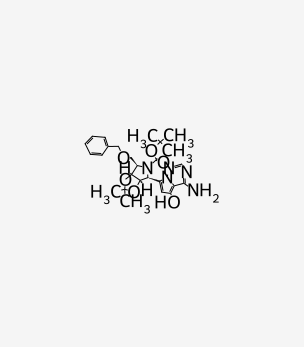 CC(C)(C)OC(=O)N1[C@H](COCc2ccccc2)[C@H]2OC(C)(C)O[C@H]2[C@@H]1c1cc(O)c2c(N)ncnn12